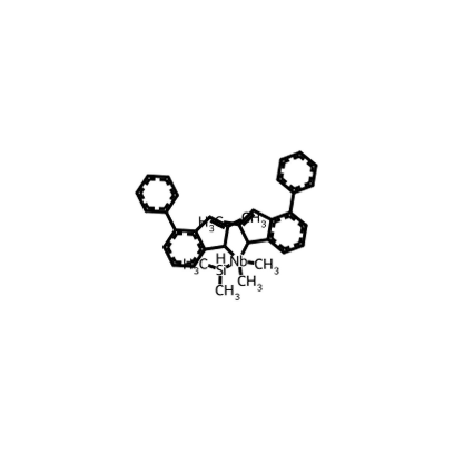 CC1=Cc2c(-c3ccccc3)cccc2[CH]1[Nb]([CH3])([CH3])([CH]1C(C)=Cc2c(-c3ccccc3)cccc21)[SiH](C)C